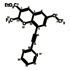 CCOC(=O)C1=Cc2cc(OC(F)(F)F)cc(C#Cc3ccccn3)c2OC1C(F)(F)F